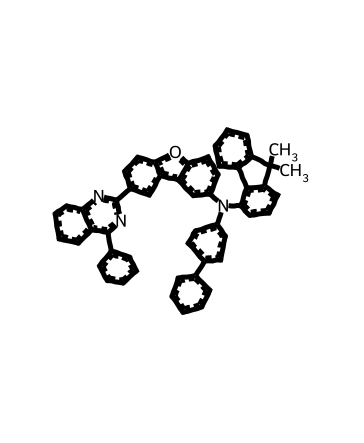 CC1(C)c2ccccc2-c2c(N(c3ccc(-c4ccccc4)cc3)c3ccc4oc5ccc(-c6nc(-c7ccccc7)c7ccccc7n6)cc5c4c3)cccc21